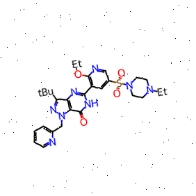 CCOc1ncc(S(=O)(=O)N2CCN(CC)CC2)cc1-c1nc2c(C(C)(C)C)nn(Cc3ccccn3)c2c(=O)[nH]1